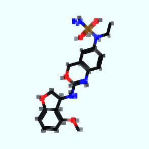 CCN(c1ccc2c(c1)COC(NC1COc3cccc(OC)c31)=N2)S(N)(=O)=O